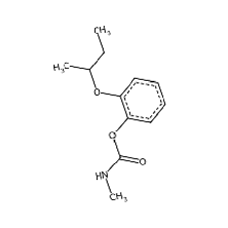 CCC(C)Oc1ccccc1OC(=O)NC